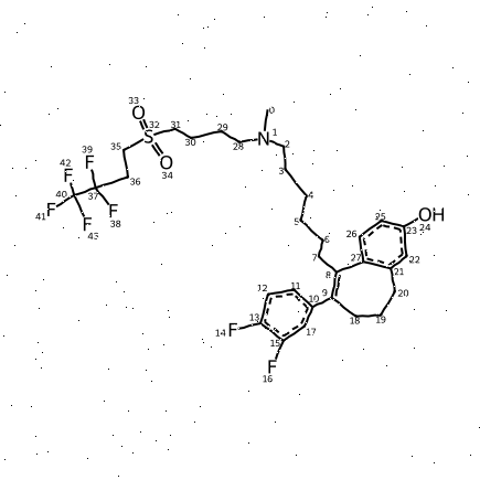 CN(CCCCCCC1=C(c2ccc(F)c(F)c2)CCCc2cc(O)ccc21)CCCCS(=O)(=O)CCC(F)(F)C(F)(F)F